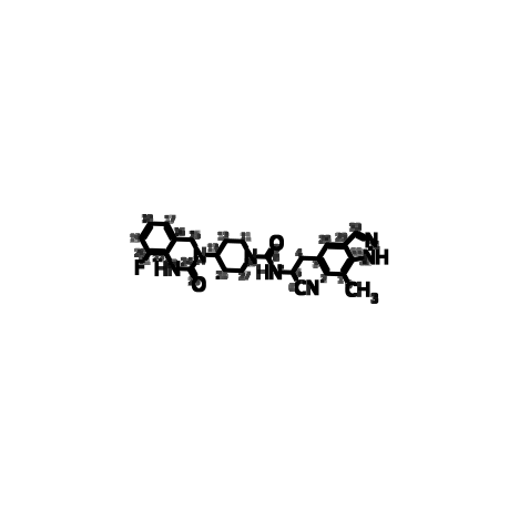 Cc1cc(CC(C#N)NC(=O)N2CCC(N3Cc4cccc(F)c4NC3=O)CC2)cc2cn[nH]c12